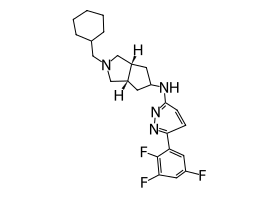 Fc1cc(F)c(F)c(-c2ccc(NC3C[C@@H]4CN(CC5CCCCC5)C[C@@H]4C3)nn2)c1